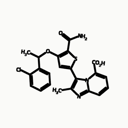 Cc1nc2cccc(C(=O)O)n2c1-c1cc(OC(C)c2ccccc2Cl)c(C(N)=O)s1